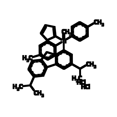 Cl.Cl.[CH2]=[Ti]([C]1=CC=CC1)([c]1ccc(C)cc1)([c]1ccc(C)cc1)[c]1cc(C(C)C)cc2c1Cc1ccc(C(C)C)cc1-2